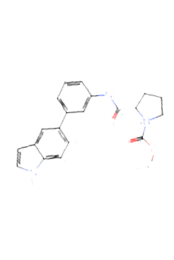 COC(=O)N1CCC[C@H]1C(=O)Nc1cccc(-c2ccc3[nH]ccc3c2)c1